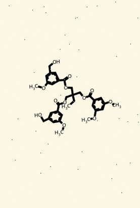 CCC(COC(=O)c1cc(CO)cc(OC)c1)(COC(=O)c1cc(CO)cc(OC)c1)COC(=O)c1cc(OC)cc(OC)c1